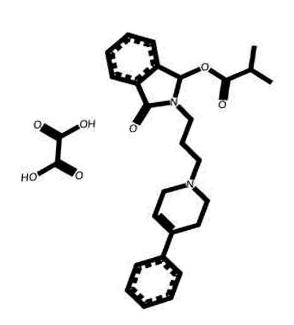 CC(C)C(=O)OC1c2ccccc2C(=O)N1CCCN1CC=C(c2ccccc2)CC1.O=C(O)C(=O)O